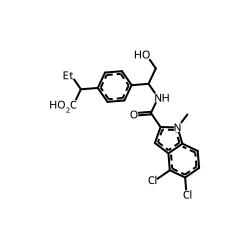 CCC(C(=O)O)c1ccc(C(CO)NC(=O)c2cc3c(Cl)c(Cl)ccc3n2C)cc1